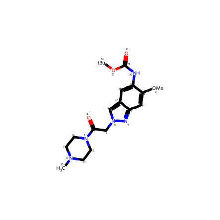 COc1cc2nn(CC(=O)N3CCN(C)CC3)cc2cc1NC(=O)OC(C)(C)C